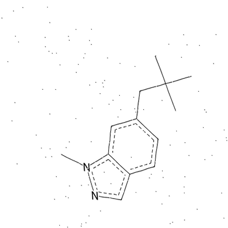 Cn1ncc2ccc(CC(C)(C)C)cc21